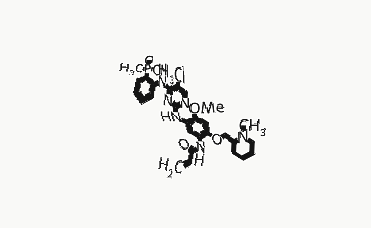 C=CC(=O)Nc1cc(Nc2ncc(Cl)c(Nc3ccccc3P(C)(C)=O)n2)c(OC)cc1OCC1CCCCN1C